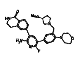 COC1CCN(Cc2cc(-c3cc(-c4ccc5c(c4)CCNC5=O)c(N)nc3F)ccc2N2CCOCC2)C1